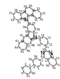 c1ccc(-c2ccc(-c3nc(-c4cccc(-n5c6ccc(-n7c8ccccc8c8ccc9ccccc9c87)cc6c6cc7ccccc7cc65)c4)nc4ccccc34)cc2)cc1